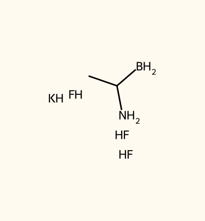 BC(C)N.F.F.F.[KH]